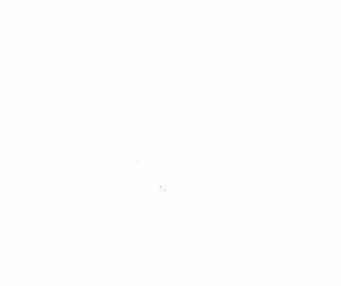 CC1(C)C=C(Cl)C=C(c2ccc(F)cc2)C1CN